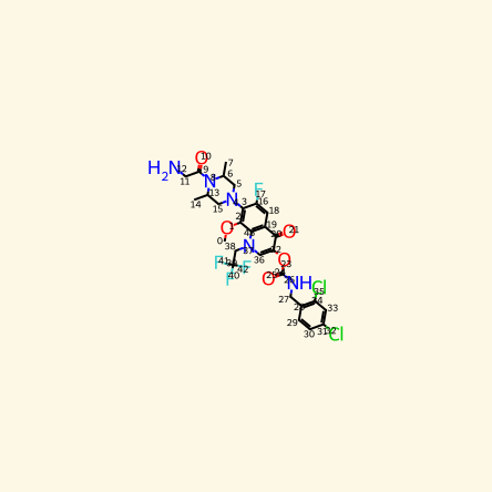 COc1c(N2CC(C)N(C(=O)CN)C(C)C2)c(F)cc2c(=O)c(OC(=O)NCc3ccc(Cl)cc3Cl)cn(CC(F)(F)F)c12